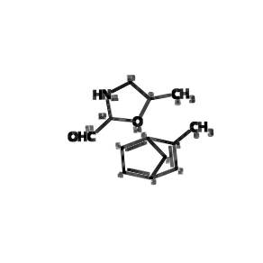 CC1=CC2=CC=C1C2.CC1CNC(C=O)O1